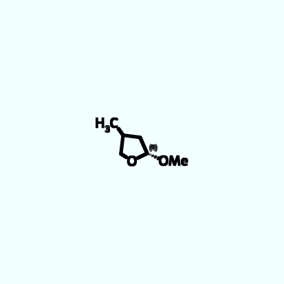 CO[C@H]1CC(C)CO1